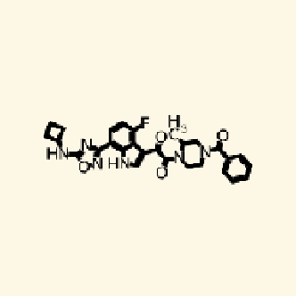 CC1CN(C(=O)c2ccccc2)CCN1C(=O)C(=O)c1c[nH]c2c(-c3noc(NC4CCC4)n3)ccc(F)c12